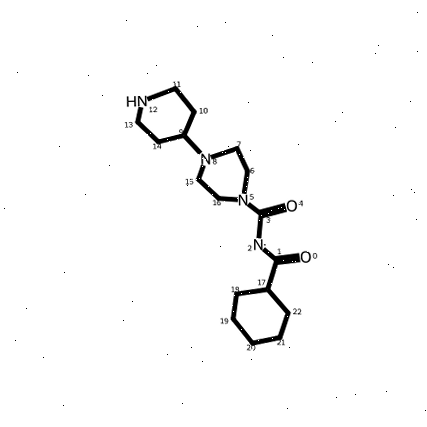 O=C([N]C(=O)N1CCN(C2CCNCC2)CC1)C1CCCCC1